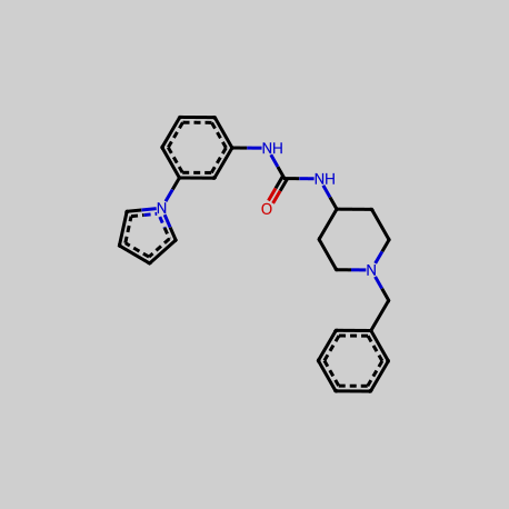 O=C(Nc1cccc(-n2cccc2)c1)NC1CCN(Cc2ccccc2)CC1